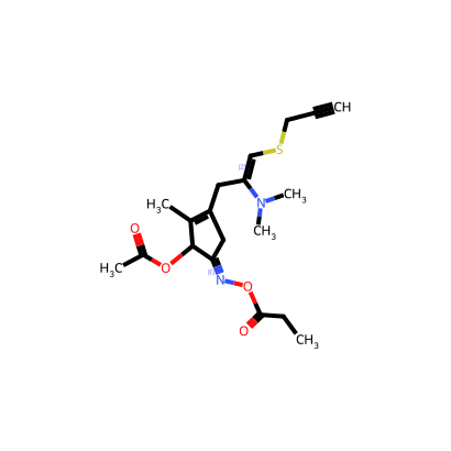 C#CCS/C=C(/CC1=C(C)C(OC(C)=O)/C(=N/OC(=O)CC)C1)N(C)C